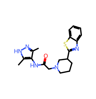 Cc1n[nH]c(C)c1NC(=O)CN1CCCC(c2nc3ccccc3s2)C1